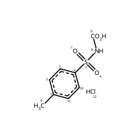 Cc1ccc(S(=O)(=O)NC(=O)O)cc1.Cl